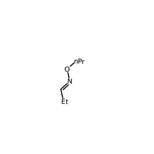 CCC=NOCCC